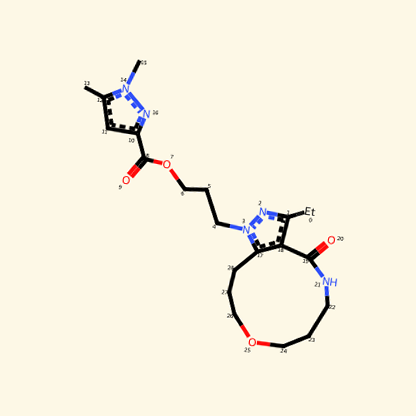 CCc1nn(CCCOC(=O)c2cc(C)n(C)n2)c2c1C(=O)NCCCOCCC2